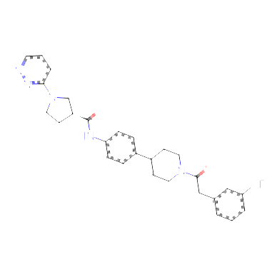 O=C(Nc1ccc(C2CCN(C(=O)Cc3cccc(C(F)(F)F)c3)CC2)cc1)[C@H]1CCN(c2cccnn2)C1